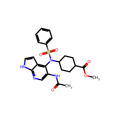 COC(=O)C1CCC(N(c2c(NC(C)=O)cnc3[nH]ccc23)S(=O)(=O)c2ccccc2)CC1